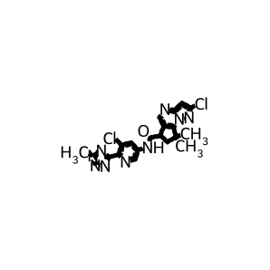 Cn1nnc(-c2ncc(NC(=O)C3CC(C)(C)c4c3cnc3cc(Cl)nn43)cc2Cl)n1